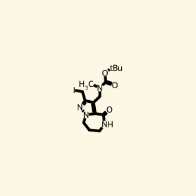 CN(Cc1c(CI)nn2c1C(=O)NCCC2)C(=O)OC(C)(C)C